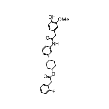 COc1cc(CC(=O)Nc2cccc([C@H]3CC[C@@H](OC(=O)Cc4ccccc4F)CC3)c2)ccc1O